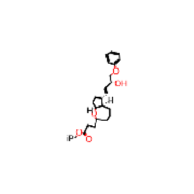 CC(C)OC(=O)CC[C@@H]1CCC[C@H]2[C@H](CC[C@@H]2/C=C/[C@@H](O)COc2ccccc2)O1